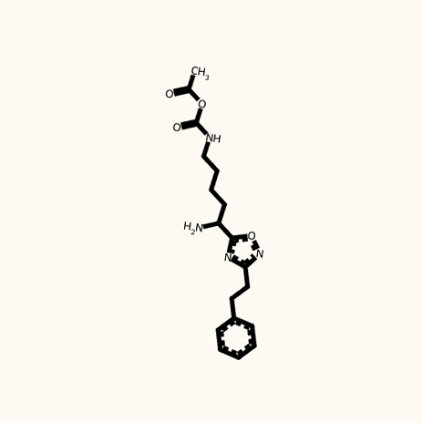 CC(=O)OC(=O)NCCCCC(N)c1nc(CCc2ccccc2)no1